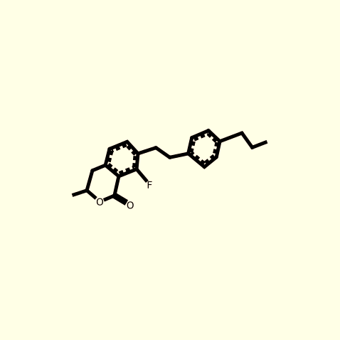 CCCc1ccc(CCc2ccc3c(c2F)C(=O)OC(C)C3)cc1